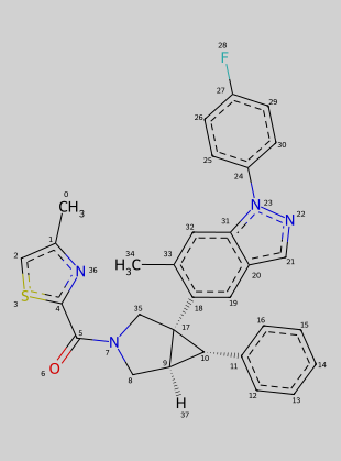 Cc1csc(C(=O)N2C[C@@H]3[C@@H](c4ccccc4)[C@]3(c3cc4cnn(-c5ccc(F)cc5)c4cc3C)C2)n1